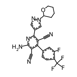 N#Cc1c(N)nc(-c2cnn(C3CCCCO3)c2)c(C#N)c1-c1ccc(C(F)(F)F)c(F)c1